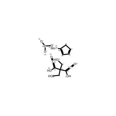 O=C=C(O)C(CO)(CO)C(O)=C=O.[Mn+3][C]1=CC=CC1.[O-]P([O-])[O-]